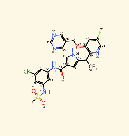 CS(=O)(=O)Nc1cc(Cl)cc(NC(=O)c2c[nH]c(C(c3ncc(F)cc3OCc3cncnc3)C(F)(F)F)c2)c1